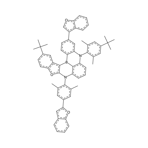 Cc1cc(C(C)(C)C)cc(C)c1N1c2cc(-c3coc4ccccc34)ccc2B2c3c1cccc3N(c1c(C)cc(-c3cc4ccccc4o3)cc1C)c1oc3ccc(C(C)(C)C)cc3c12